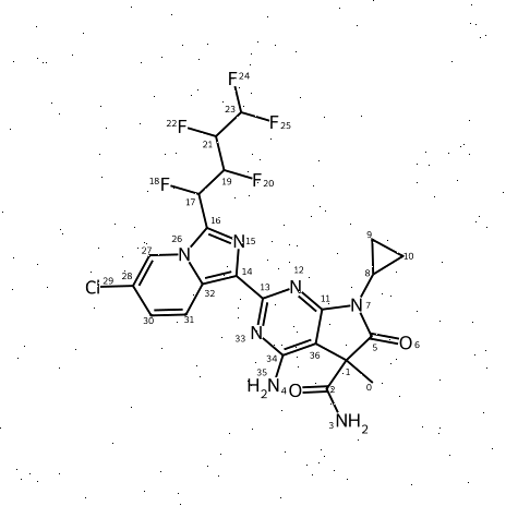 CC1(C(N)=O)C(=O)N(C2CC2)c2nc(-c3nc(C(F)C(F)C(F)C(F)F)n4cc(Cl)ccc34)nc(N)c21